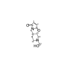 O=C1C=CC(=O)N1CC1CCN(CO)CC1